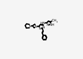 Cc1cc(Nc2cc(N3CC(N4CCCCC4)C3)nc(C=Cc3ccccc3)n2)n[nH]1